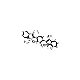 CC1=C(c2ccc(C3=C(C)c4ccccc4[Si]3(C)C)cc2)[Si](C)(C)c2ccccc21